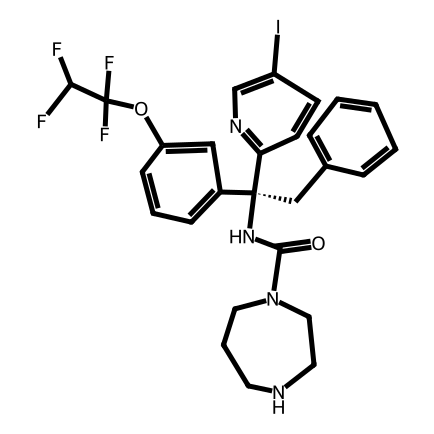 O=C(N[C@@](Cc1ccccc1)(c1cccc(OC(F)(F)C(F)F)c1)c1ccc(I)cn1)N1CCCNCC1